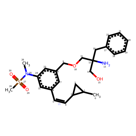 CC1CC1/C=C\c1cc(COCC(N)(CO)Cc2ccccc2)cc(N(C)S(C)(=O)=O)c1